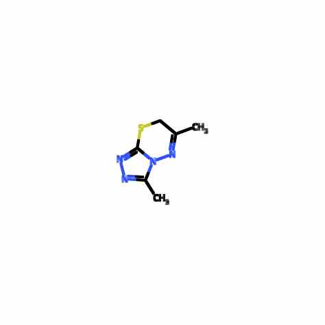 CC1=Nn2c(C)nnc2SC1